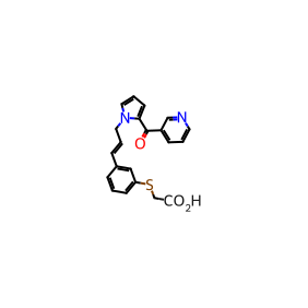 O=C(O)CSc1cccc(/C=C/Cn2cccc2C(=O)c2cccnc2)c1